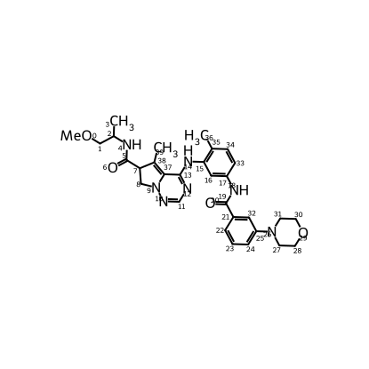 COCC(C)NC(=O)C1CN2N=CN=C(Nc3cc(NC(=O)c4cccc(N5CCOCC5)c4)ccc3C)C2=C1C